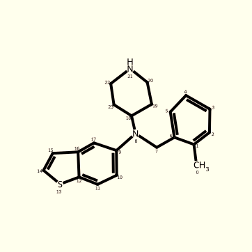 Cc1ccccc1CN(c1ccc2sccc2c1)C1CCNCC1